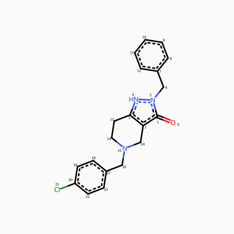 O=c1c2c([nH]n1Cc1ccccc1)CCN(Cc1ccc(Cl)cc1)C2